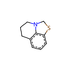 c1cc2c3c(c1)SCN3CCC2